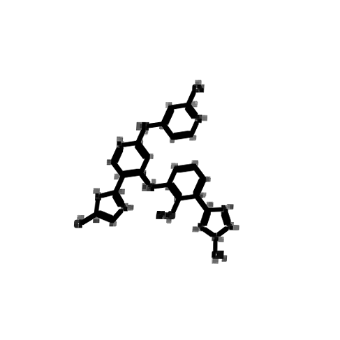 COc1c(Nc2cc(Nc3ccnc(C#N)c3)ncc2-c2ncc(Cl)s2)cccc1-c1nnn(C)n1